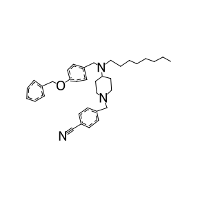 CCCCCCCCN(Cc1ccc(OCc2ccccc2)cc1)C1CCN(Cc2ccc(C#N)cc2)CC1